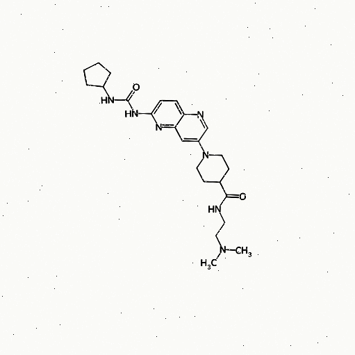 CN(C)CCNC(=O)C1CCN(c2cnc3ccc(NC(=O)NC4CCCC4)nc3c2)CC1